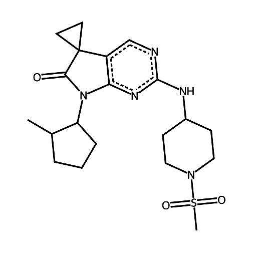 CC1CCCC1N1C(=O)C2(CC2)c2cnc(NC3CCN(S(C)(=O)=O)CC3)nc21